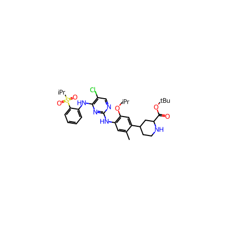 Cc1cc(Nc2ncc(Cl)c(Nc3ccccc3S(=O)(=O)C(C)C)n2)c(OC(C)C)cc1C1CCNC(C(=O)OC(C)(C)C)C1